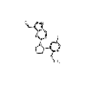 COc1ncc(F)cc1C1CCCN1c1ncn2ncc(C=O)c2n1